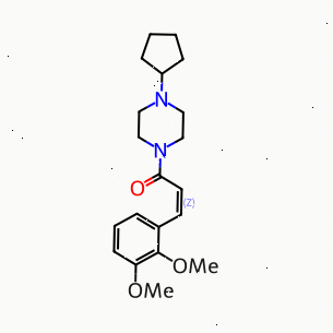 COc1cccc(/C=C\C(=O)N2CCN(C3CCCC3)CC2)c1OC